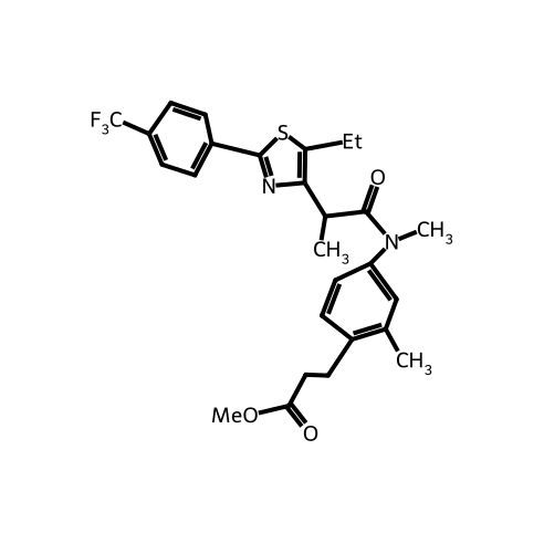 CCc1sc(-c2ccc(C(F)(F)F)cc2)nc1C(C)C(=O)N(C)c1ccc(CCC(=O)OC)c(C)c1